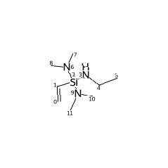 C=C[Si](NCC)(N(C)C)N(C)C